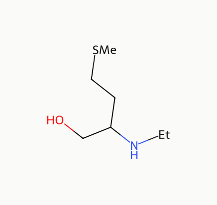 CCNC(CO)CCSC